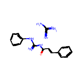 N=C(N)N.N=C(NC(=O)C=Cc1ccccc1)Nc1ccccc1